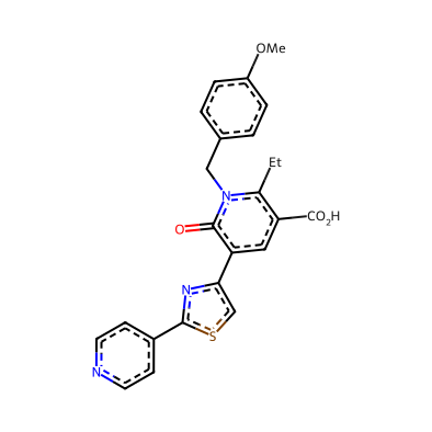 CCc1c(C(=O)O)cc(-c2csc(-c3ccncc3)n2)c(=O)n1Cc1ccc(OC)cc1